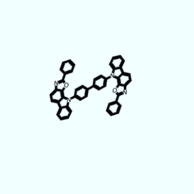 c1ccc(-c2nc3ccc4c5ccccc5n(-c5ccc(-c6ccc(-n7c8ccccc8c8ccc9nc(-c%10ccccc%10)oc9c87)cc6)cc5)c4c3o2)cc1